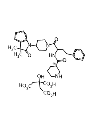 CC1(C)C(=O)N(C2CCN(C(=O)C(CCc3ccccc3)NC(=O)[C@@H]3CCCNC3)CC2)c2ccccc21.O=C(O)CC(O)(CC(=O)O)C(=O)O